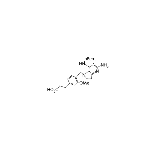 CCCCCNc1nc(N)nc2ccn(Cc3ccc(CCC(=O)O)cc3OC)c12